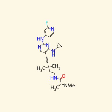 CN[C@@H](C)C(=O)NCCC(C)(C)C#Cc1cnc(Nc2ccnc(F)c2)nc1NC1CC1